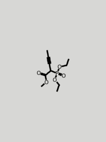 CC#CC(C(=O)OC)P(=O)(OCC)OCC